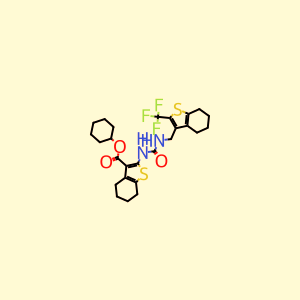 O=C(NCc1c(C(F)(F)F)sc2c1CCCC2)Nc1sc2c(c1C(=O)OC1CCCCC1)CCCC2